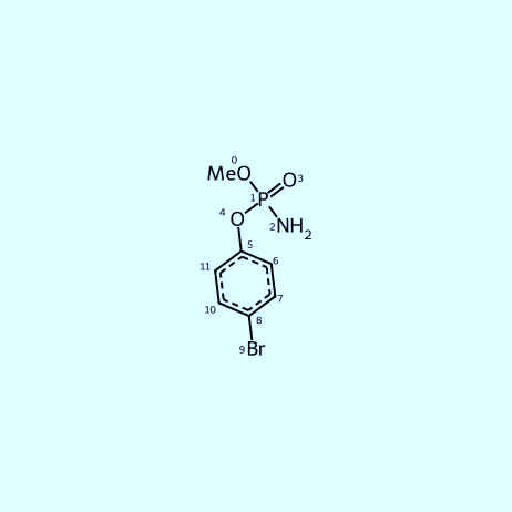 COP(N)(=O)Oc1ccc(Br)cc1